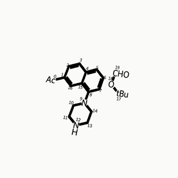 CC(=O)c1ccc2cccc(N3CCNCC3)c2c1.CC(C)(C)OC=O